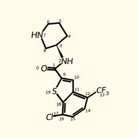 O=C(N[C@@H]1CCCNC1)c1cc2c(C(F)(F)F)ccc(Cl)c2s1